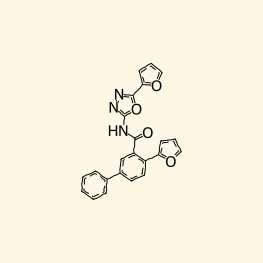 O=C(Nc1nnc(-c2ccco2)o1)c1cc(-c2ccccc2)ccc1-c1ccco1